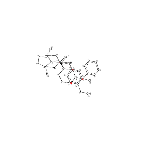 O=C([C@@H]1CCCN(Cc2ccccc2)C1)N1[C@@H]2CC[C@H]1CC(Nc1ccc(CO)c(Cl)c1)C2